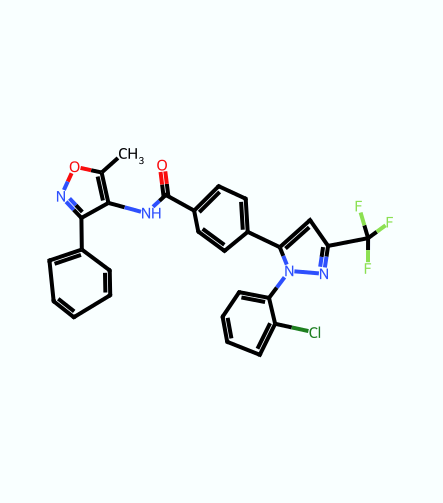 Cc1onc(-c2ccccc2)c1NC(=O)c1ccc(-c2cc(C(F)(F)F)nn2-c2ccccc2Cl)cc1